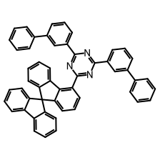 c1ccc(-c2cccc(-c3nc(-c4cccc(-c5ccccc5)c4)nc(-c4cccc5c4-c4ccccc4C54c5ccccc5-c5ccccc54)n3)c2)cc1